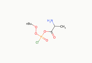 CCCCOOP(=O)(Cl)OC(=O)C(C)N